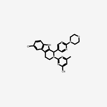 Cc1cc(C#N)nc(N2CCc3c([nH]c4ccc(Cl)cc34)C2c2cnc(N3CCOCC3)nc2)n1